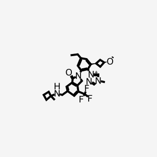 CCc1cc(N2Cc3c(cc(CNC4(C)CCC4)cc3C(F)(F)F)C2=O)c(-[n+]2cn(C)cn2)c([C@H]2C[C@H](OC)C2)c1